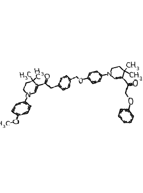 COc1ccc(N2C=C(C(=O)Cc3ccc(COc4ccc(N5C=C(C(=O)COc6ccccc6)C(C)(C)CC5)cc4)cc3)C(C)(C)CC2)cc1